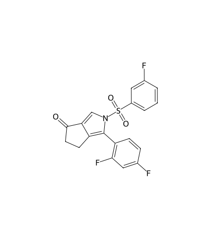 O=C1CCc2c1cn(S(=O)(=O)c1cccc(F)c1)c2-c1ccc(F)cc1F